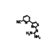 N#Cc1cccc(-c2csc(N=C(N)N)n2)n1